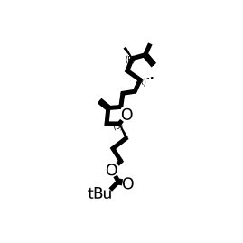 C=C1C[C@H](CCCOC(=O)C(C)(C)C)OC1CC[C@@H](C)C[C@@H](C)C(=C)C